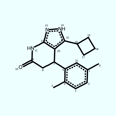 Cc1ccc(C)c(C2CC(=O)Nc3n[nH]c(C4CCC4)c32)c1